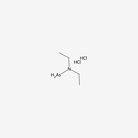 CCN([AsH2])CC.Cl.Cl